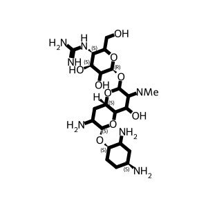 CNC1C(O[C@H]2OC(CO)[C@@H](NC(=N)N)[C@H](O)C2O)O[C@H]2CC(N)[C@@H](O[C@H]3CC[C@H](N)CC3N)OC2C1O